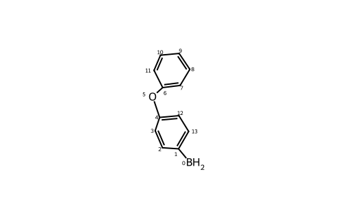 Bc1ccc(Oc2ccccc2)cc1